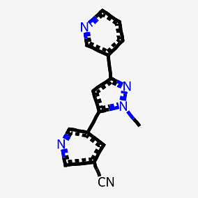 Cn1nc(-c2cccnc2)cc1-c1cncc(C#N)c1